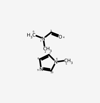 CN(C)C=O.Cn1ccnc1